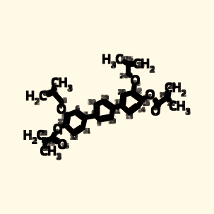 C=C(C)COc1cc(-c2ccc(-c3ccc(OC(=O)C(=C)C)c(OCC(=C)C)c3)cc2)ccc1OC(=O)C(=C)C